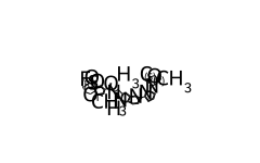 Cc1cc(C(=O)NCc2cc3nc(-c4cccc(N5C[C@@H](C)O[C@@H](C)C5)n4)ccc3cn2)cc2c1OCC[C@H](F)S2(=O)=O